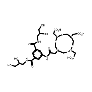 O=C(O)CN1CCN(CC(=O)O)CCN(CC(=O)Nc2cc(C(=O)NCC(O)CO)cc(C(=O)NCC(O)CO)c2)CCN(CC(=O)O)CC1